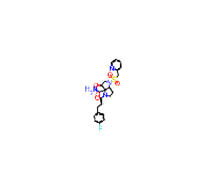 NC(=O)C12C(=O)CN(S(=O)(=O)Cc3ccccn3)C1CCN2C(=O)[CH]Cc1ccc(F)cc1